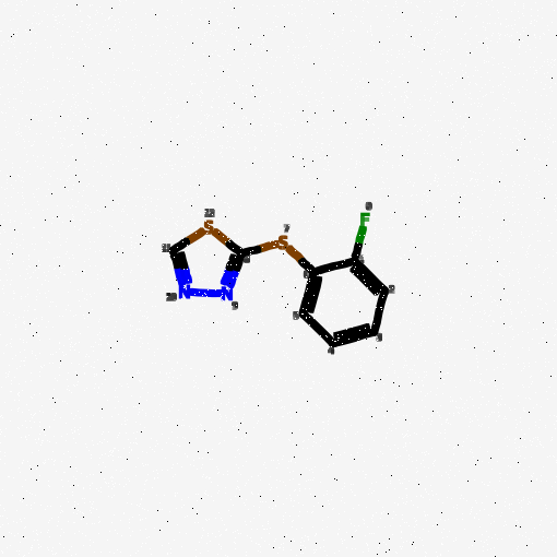 Fc1ccccc1Sc1nncs1